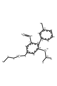 CCCCCc1cc(N=O)c(-c2cccc(C)c2)c(OC(C)C)c1